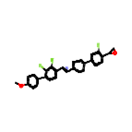 COc1ccc(-c2ccc(/C=C/c3ccc(-c4ccc(C5CO5)c(F)c4)cc3)c(F)c2F)cc1